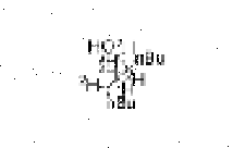 [2H]C(CCCC)C([2H])([2H])C([2H])(CCCC)C([2H])([2H])O